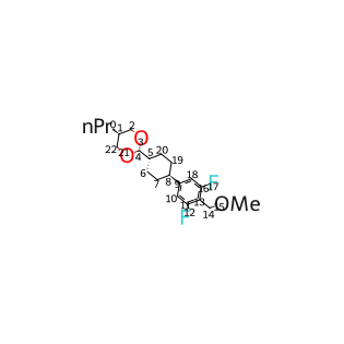 CCC[C@H]1CO[C@H]([C@H]2CC[C@H](c3cc(F)c(COC)c(F)c3)CC2)OC1